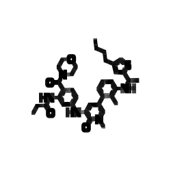 C=C(Nc1cccc(-c2cc(Nc3ccc(C(=O)N4CCOCC4)c(NC(=O)CC)c3)c(=O)n(C)c2)c1C)c1cc(CCCC)cs1